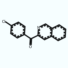 O=C(c1ccc(Cl)cc1)c1cc2ccccc2cn1